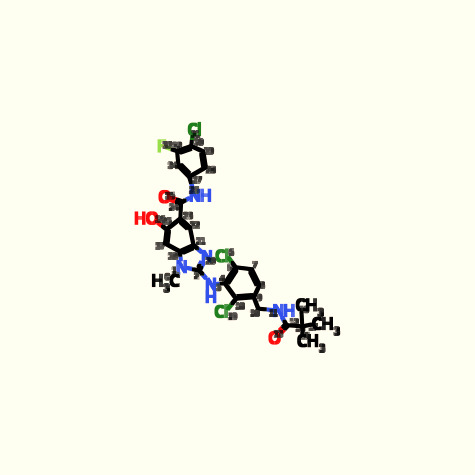 Cn1c(Nc2c(Cl)ccc(CNC(=O)C(C)(C)C)c2Cl)nc2cc(C(=O)Nc3ccc(Cl)c(F)c3)c(O)cc21